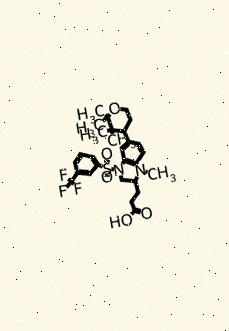 CN1c2ccc(C3CCOC(C)(C)C3(C)C)cc2N(S(=O)(=O)c2cccc(C(F)(F)F)c2)CC1CCC(=O)O